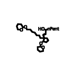 CCCCCC(O)C=CC1(CCCCCCCOC2CCCCO2)CCCC1OC1CCCCO1